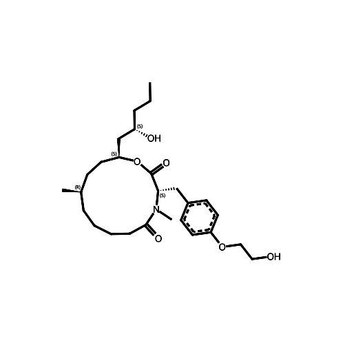 CCC[C@H](O)C[C@@H]1CC[C@H](C)CCCCC(=O)N(C)[C@@H](Cc2ccc(OCCO)cc2)C(=O)O1